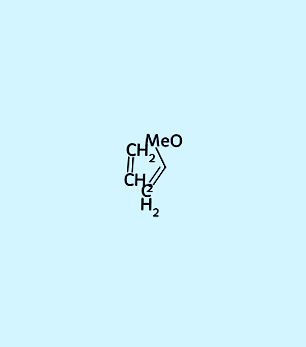 C=C.C=COC